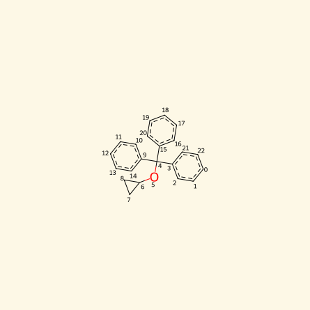 c1ccc(C(OC2CC2)(c2ccccc2)c2ccccc2)cc1